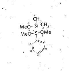 CO[Si](C)(C)[Si](OC)(OC)c1ccccc1